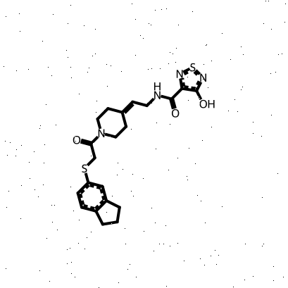 O=C(NCC=C1CCN(C(=O)CSc2ccc3c(c2)CCC3)CC1)c1nsnc1O